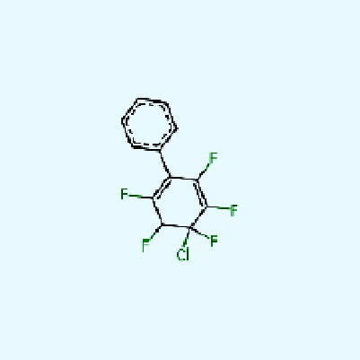 FC1=C(F)C(F)(Cl)C(F)C(F)=C1c1ccccc1